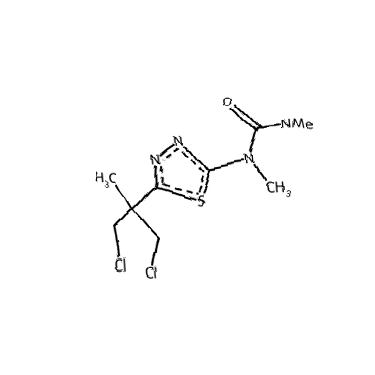 CNC(=O)N(C)c1nnc(C(C)(CCl)CCl)s1